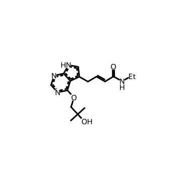 CCNC(=O)/C=C/Cc1c[nH]c2ncnc(OCC(C)(C)O)c12